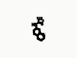 NC(=S)Nc1ccc2cccnc2c1